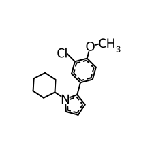 COc1ccc(-c2cccn2C2CCCCC2)cc1Cl